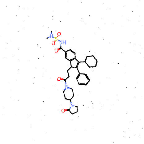 CN(C)S(=O)(=O)NC(=O)c1ccc2c(c1)C(CCC(=O)N1CCC(N3CCCC3=O)CC1)C(c1ccccc1)=C2C1CCCCC1